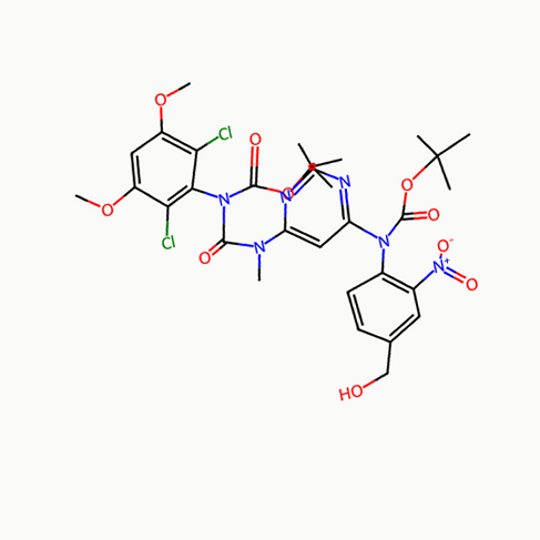 COc1cc(OC)c(Cl)c(N(C(=O)OC(C)(C)C)C(=O)N(C)c2cc(N(C(=O)OC(C)(C)C)c3ccc(CO)cc3[N+](=O)[O-])ncn2)c1Cl